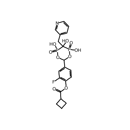 O=C(Oc1ccc(C2OP(=O)(O)C(O)(Cc3cccnc3)P(=O)(O)O2)cc1F)C1CCC1